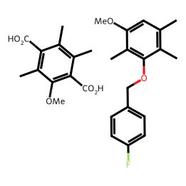 COc1c(C)c(C(=O)O)c(C)c(C)c1C(=O)O.COc1cc(C)c(C)c(OCc2ccc(F)cc2)c1C